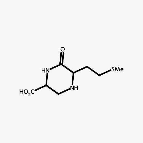 CSCCC1NCC(C(=O)O)NC1=O